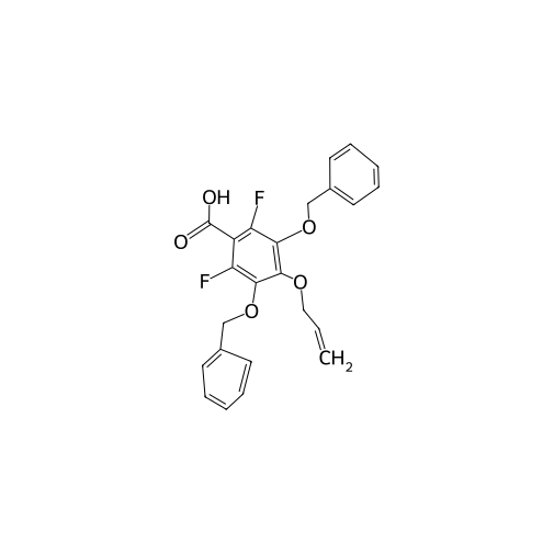 C=CCOc1c(OCc2ccccc2)c(F)c(C(=O)O)c(F)c1OCc1ccccc1